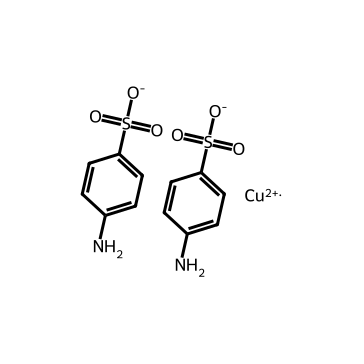 Nc1ccc(S(=O)(=O)[O-])cc1.Nc1ccc(S(=O)(=O)[O-])cc1.[Cu+2]